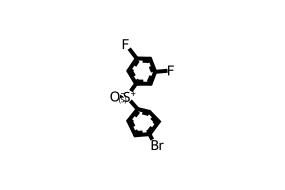 [O-][S@+](c1ccc(Br)cc1)c1cc(F)cc(F)c1